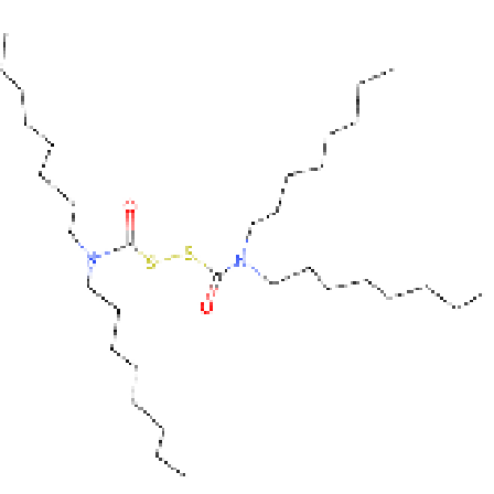 CCCCCCCCN(CCCCCCCC)C(=O)SSC(=O)N(CCCCCCCC)CCCCCCCC